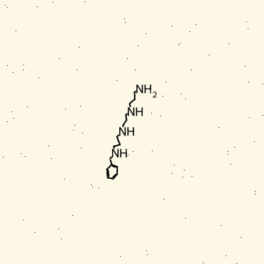 NCCCNCCCNCCCNCc1ccccc1